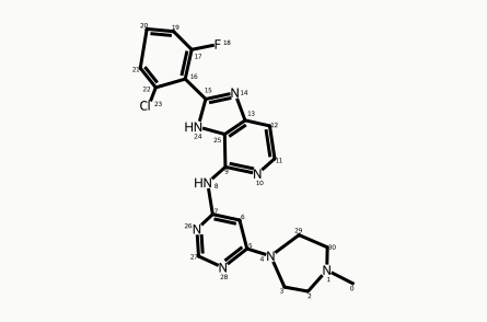 CN1CCN(c2cc(Nc3nccc4nc(-c5c(F)cccc5Cl)[nH]c34)ncn2)CC1